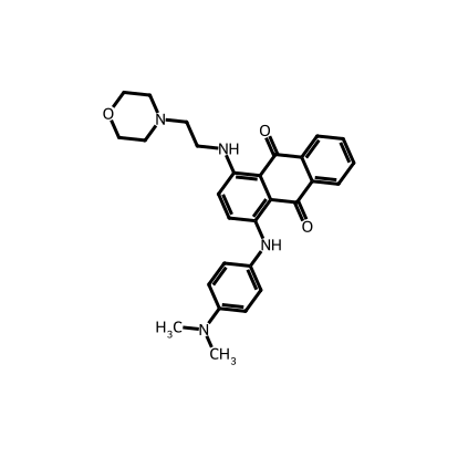 CN(C)c1ccc(Nc2ccc(NCCN3CCOCC3)c3c2C(=O)c2ccccc2C3=O)cc1